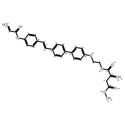 C=CC(=O)Oc1ccc(/C=C/c2ccc(-c3ccc(OCCOC(=O)C(=C)CC(=O)OC)cc3)cc2)cc1